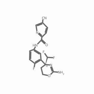 N#Cc1ccc(C(=O)Nc2ccc(F)c([C@@]3(C(F)F)CCOC(N)=N3)c2)nc1